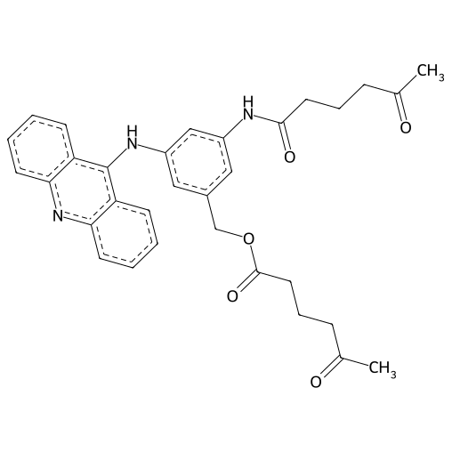 CC(=O)CCCC(=O)Nc1cc(COC(=O)CCCC(C)=O)cc(Nc2c3ccccc3nc3ccccc23)c1